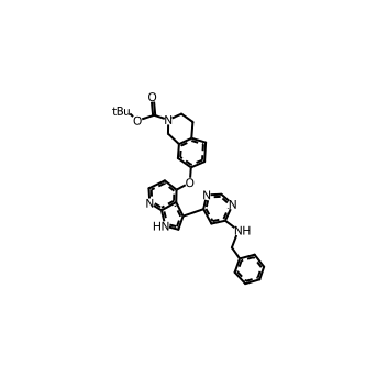 CC(C)(C)OC(=O)N1CCc2ccc(Oc3ccnc4[nH]cc(-c5cc(NCc6ccccc6)ncn5)c34)cc2C1